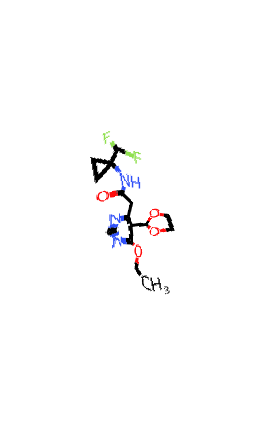 CCOc1ncnc(CC(=O)NC2(C(F)F)CC2)c1C1OCCO1